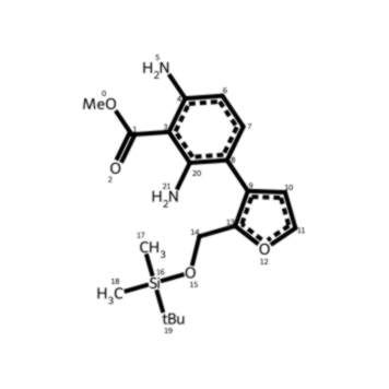 COC(=O)c1c(N)ccc(-c2ccoc2CO[Si](C)(C)C(C)(C)C)c1N